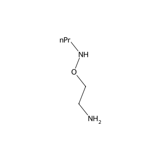 [CH2]CCNOCCN